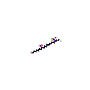 CC/C(=C/C/C=C/C/C=C/C/C=C(/CCCCCC[C]=O)[N+](=O)[O-])[N+](=O)[O-]